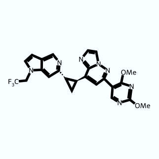 COc1ncc(-c2cc([C@H]3C[C@@H]3c3cc4c(ccn4CC(F)(F)F)cn3)c3nccn3n2)c(OC)n1